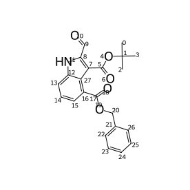 CC(C)(C)OC(=O)c1c(C=O)[nH]c2cccc(C(=O)OCc3ccccc3)c12